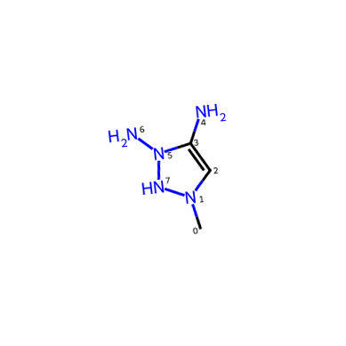 CN1C=C(N)N(N)N1